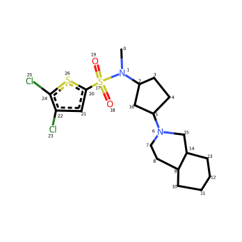 CN(C1CCC(N2CCC3CCCCC3C2)C1)S(=O)(=O)c1cc(Cl)c(Cl)s1